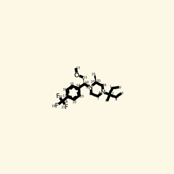 CCC(C)(CC)N1CCN([C@@H](COC)c2ccc(C(F)(F)F)cc2)[C@@H](C)C1